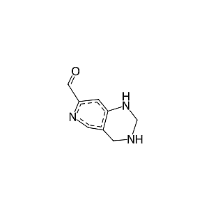 O=Cc1cc2c(cn1)CNCN2